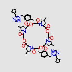 CC(C)C[C@H]1C(=O)O[C@H](Cc2ccc(Cn3ncnc3C3CCC3)cc2)C(=O)N(C)[C@@H](CC(C)C)C(=O)O[C@H](C)C(=O)N(C)[C@@H](CC(C)C)C(=O)O[C@H](Cc2ccc(Cn3ncnc3C3CCC3)cc2)C(=O)N(C)[C@@H](CC(C)C)C(=O)O[C@H](C)C(=O)N1C